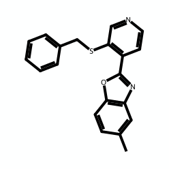 Cc1ccc2oc(-c3ccncc3SCc3ccccc3)nc2c1